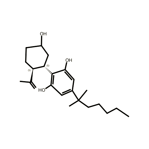 C=C(C)[C@H]1CCC(O)C[C@@H]1c1c(O)cc(C(C)(C)CCCCC)cc1O